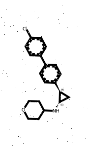 Clc1ccc(-c2ccc([C@H]3C[C@@H]3NC3CCOCC3)cc2)cc1